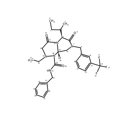 CCC(C)[C@H]1C(=O)N(Cc2cccc(C(F)(F)F)c2)C[C@H]2N1C(=O)CN(CC)N2C(=O)NCc1ccccc1